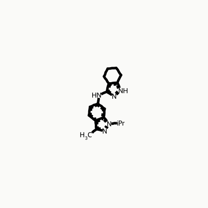 Cc1nn(C(C)C)c2cc(Nc3n[nH]c4c3CCCC4)ccc12